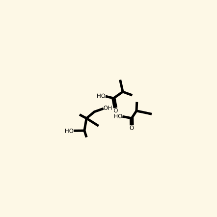 CC(C)C(=O)O.CC(C)C(=O)O.CC(O)C(C)(C)CO